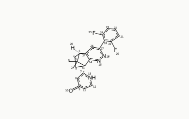 CC1(C)[C@H]2CC[C@]1(c1cc(=O)cc[nH]1)c1nnc(-c3c(F)cccc3F)cc12